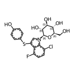 OC[C@H]1O[C@@H](n2cc(Sc3ccc(O)cc3)c3c(F)ccc(Cl)c32)[C@H](O)[C@@H](O)[C@@H]1O